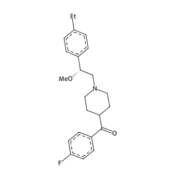 CCc1ccc([C@H](CN2CCC(C(=O)c3ccc(F)cc3)CC2)OC)cc1